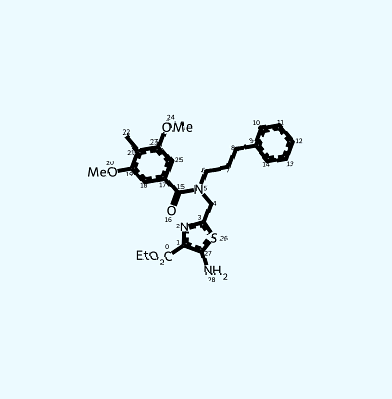 CCOC(=O)c1nc(CN(CCCc2ccccc2)C(=O)c2cc(OC)c(C)c(OC)c2)sc1N